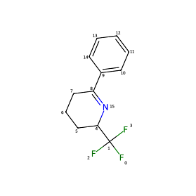 FC(F)(F)C1CCCC(c2ccccc2)=N1